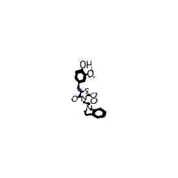 COc1cc(/C=C2\SC(=O)N(CC(=O)N3CCc4ccccc43)C2=O)ccc1O